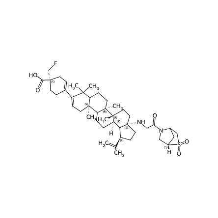 C=C(C)[C@@H]1CC[C@]2(NCC(=O)N3C[C@@H]4CC3CS4(=O)=O)CC[C@]3(C)[C@H](CCC4[C@@]5(C)CC=C(C6=CC[C@](CF)(C(=O)O)CC6)C(C)(C)C5CC[C@]43C)C12